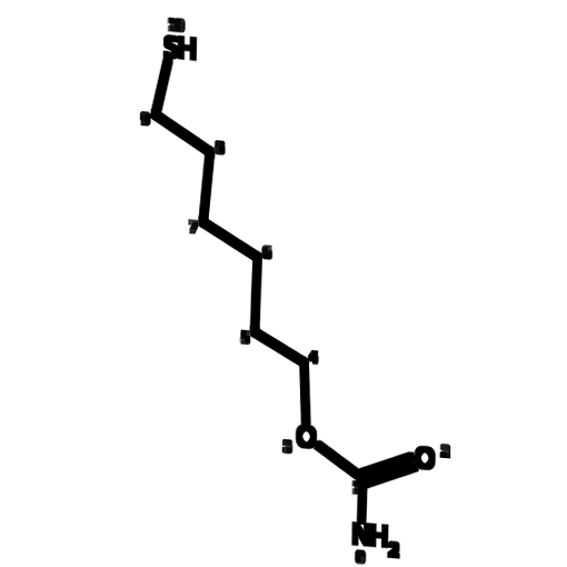 NC(=O)OCCCCCCS